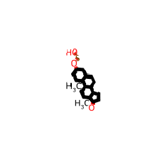 CC12CCC3C(CC=C4CC(OSO)CC[C@@]43C)C1CCC2=O